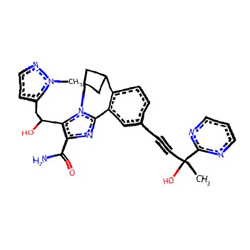 Cn1nccc1C(O)c1c(C(N)=O)nc2n1C1CC(C1)c1ccc(C#CC(C)(O)c3ncccn3)cc1-2